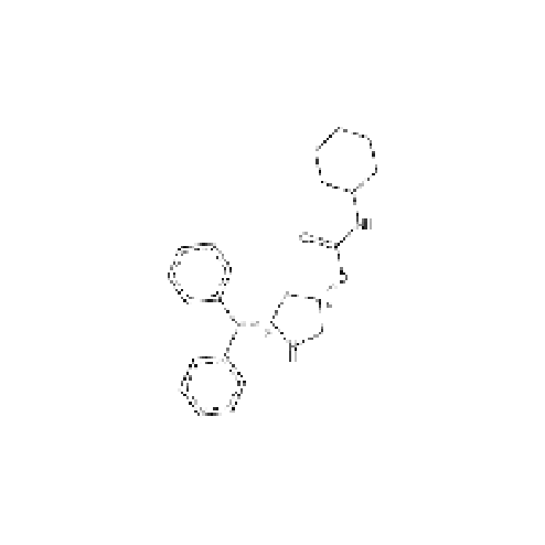 O=C(NC1CCCCC1)O[C@@H]1CN[C@H](C(c2ccccc2)c2ccccc2)C1